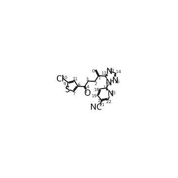 C=C(CCC(=O)c1csc(Cl)c1)c1ncnn1-c1ccc(C#N)cn1